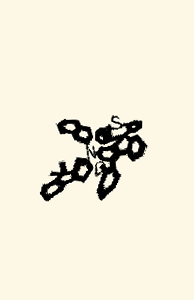 CC1(C)c2ccccc2-c2ccc(N(c3ccc4ccccc4c3)c3cc4c(c5c3oc3ccccc35)-c3ccccc3C43c4ccccc4Sc4ccccc43)cc21